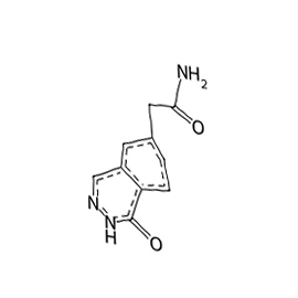 NC(=O)Cc1ccc2c(=O)[nH]ncc2c1